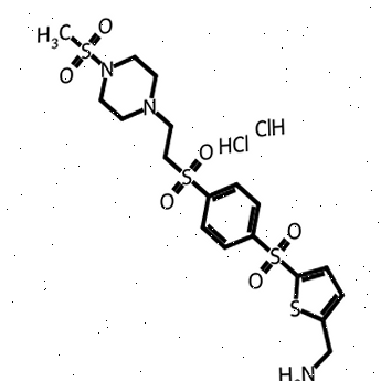 CS(=O)(=O)N1CCN(CCS(=O)(=O)c2ccc(S(=O)(=O)c3ccc(CN)s3)cc2)CC1.Cl.Cl